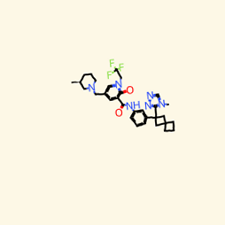 C[C@H]1CCCN(Cc2cc(C(=O)Nc3cccc(C4(c5nncn5C)CC5(CCC5)C4)c3)c(=O)n(CC(F)(F)F)c2)C1